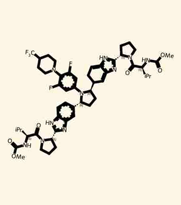 COC(=O)N[C@H](C(=O)N1CCC[C@H]1c1nc2c([nH]1)=CCC([C@H]1CC[C@H](c3ccc4[nH]c([C@@H]5CCCN5C(=O)[C@@H](NC(=O)OC)C(C)C)nc4c3)N1c1cc(F)c(N3CCC(C(F)(F)F)CC3)c(F)c1)C=2)C(C)C